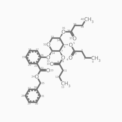 CCCC(=O)O[C@@H]1[C@@H](OC(=O)CCC)[C@@H](Oc2ccccc2C(=O)OCc2ccccc2)OC[C@H]1OC(=O)CCC